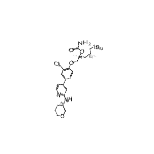 C[C@@H](CC(C)(C)C)C[C@@](C)(COc1ccc(-c2ccnc(N[C@H]3CCCOC3)c2)cc1Cl)OC(N)=O